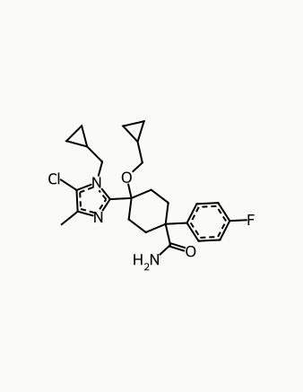 Cc1nc(C2(OCC3CC3)CCC(C(N)=O)(c3ccc(F)cc3)CC2)n(CC2CC2)c1Cl